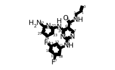 C=CCNC(=O)c1cnc(Nc2cc(F)cc(F)c2)nc1Nc1cccc(N)n1